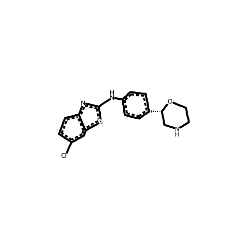 Clc1ccc2nc(Nc3ccc([C@H]4CNCCO4)cc3)sc2c1